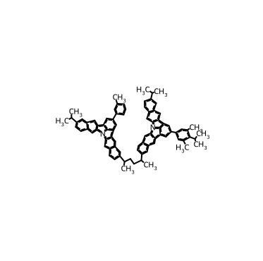 Cc1cccc(-c2cc3c4cc5cc(C(C)C)ccc5cc4n4c5cc6ccc(C(C)CCC(C)c7ccc8cc9c(cc8c7)c7cc(-c8cc(C)c(C(C)C)c(C)c8)cc8c%10cc%11cc(C(C)C)ccc%11cc%10n9c87)cc6cc5c(c2)c34)c1